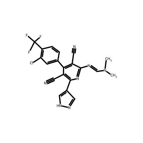 CN(C)C=Nc1nc(-c2cn[nH]c2)c(C#N)c(-c2ccc(C(F)(F)F)c(Cl)c2)c1C#N